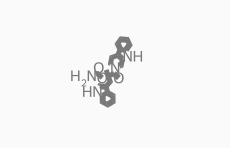 CC(Cc1c[nH]c2ccccc12)(OC(N)=O)C(=O)N1CCc2c([nH]c3ccccc23)C1